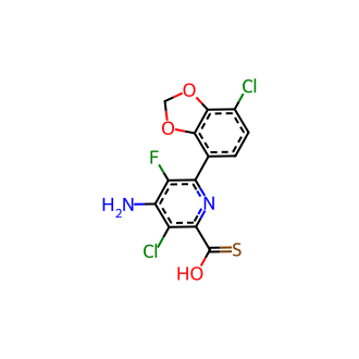 Nc1c(F)c(-c2ccc(Cl)c3c2OCO3)nc(C(O)=S)c1Cl